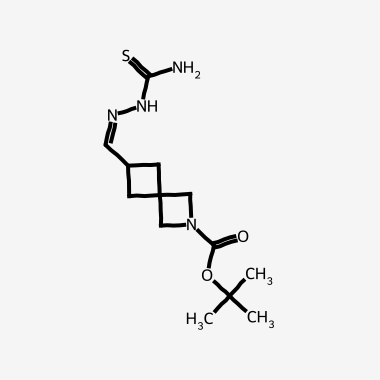 CC(C)(C)OC(=O)N1CC2(CC(/C=N\NC(N)=S)C2)C1